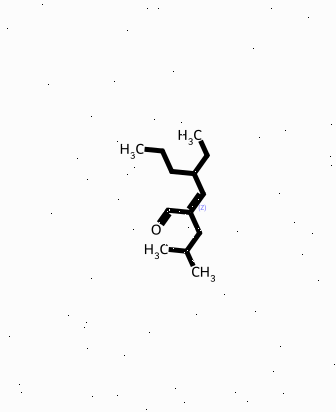 CCCC(/C=C(\C=O)CC(C)C)CC